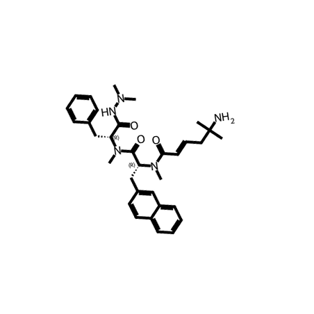 CN(C)NC(=O)[C@@H](Cc1ccccc1)N(C)C(=O)[C@@H](Cc1ccc2ccccc2c1)N(C)C(=O)C=CCC(C)(C)N